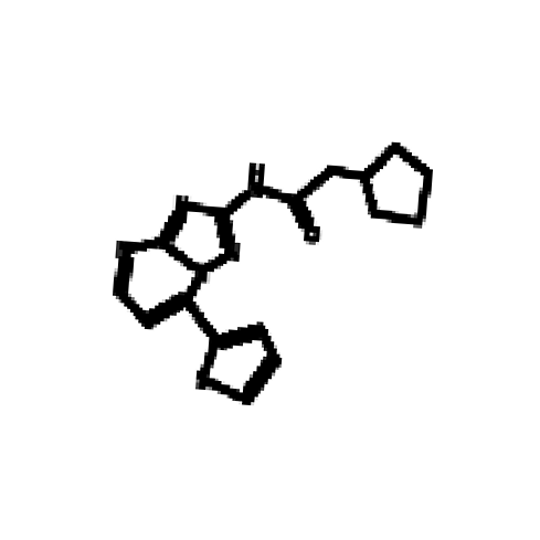 O=C(CC1CCCC1)Nc1nc2nccc(-c3cccs3)n2n1